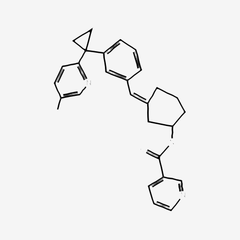 O=C(NC1CCCC(=Cc2cccc(C3(c4ccc(C(F)(F)F)cn4)CC3)c2)C1)c1cccnc1